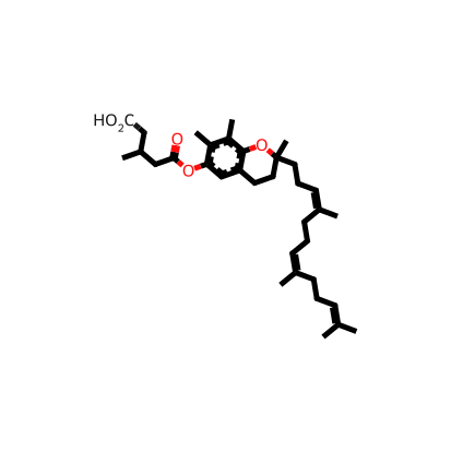 CC(C)=CCCC(C)=CCCC(C)=CCCC1(C)CCc2cc(OC(=O)CC(C)CC(=O)O)c(C)c(C)c2O1